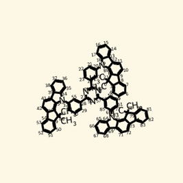 CC1(C)c2ccccc2-c2ccc3c4ccccc4n(-c4cccc(-c5nc(-c6cccc(-n7c8ccccc8c8ccc9c(c87)C(C)(C)c7ccccc7-9)c6)nc(-c6cccc(-n7c8ccccc8c8ccc9c(c87)C(C)(C)c7ccccc7-9)c6)n5)c4)c3c21